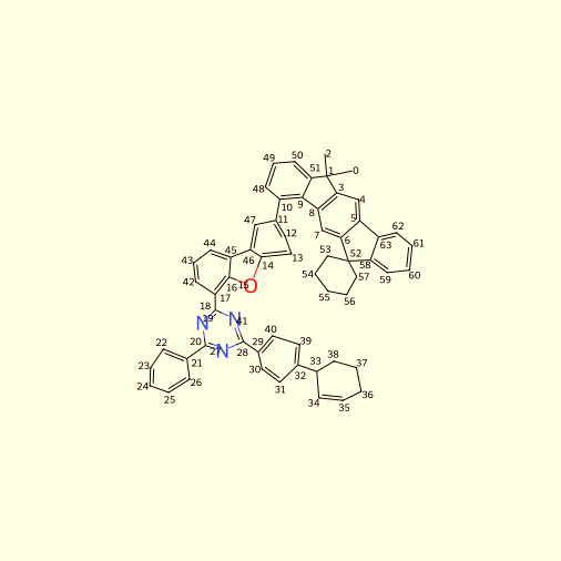 CC1(C)c2cc3c(cc2-c2c(-c4ccc5oc6c(-c7nc(-c8ccccc8)nc(-c8ccc(C9C=CCCC9)cc8)n7)cccc6c5c4)cccc21)C1(CCCCC1)c1ccccc1-3